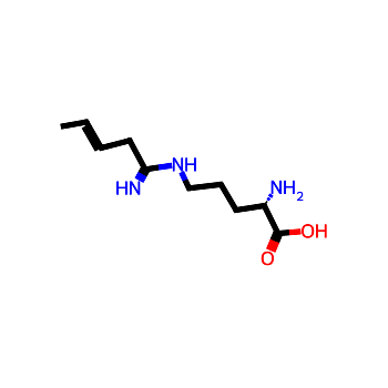 CC=CCC(=N)NCCC[C@H](N)C(=O)O